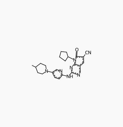 CC1CCN(c2ccc(Nc3ncc4cc(C#N)c(=O)n(C5CCCC5)c4n3)nc2)CC1